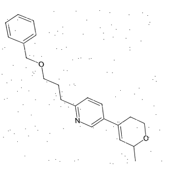 CC1C=C(c2ccc(CCCOCc3ccccc3)nc2)CCO1